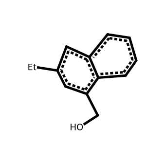 CCc1cc(CO)c2ccccc2c1